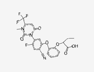 CCC(Oc1ccccc1Oc1cc(-n2c(=O)cc(C(F)(F)F)n(C)c2=O)c(F)cc1C#N)C(=O)O